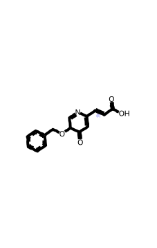 O=C(O)/C=C/C1=CC(=O)C(OCc2ccccc2)C=N1